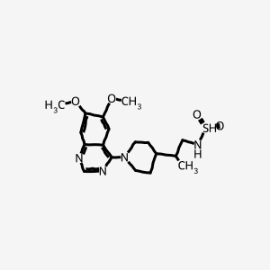 COc1cc2ncnc(N3CCC(C(C)CN[SH](=O)=O)CC3)c2cc1OC